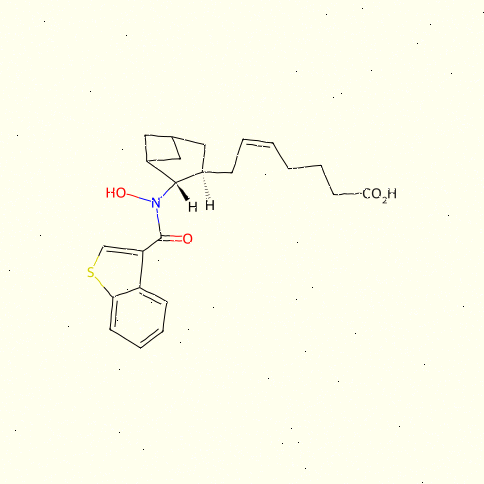 O=C(O)CCC/C=C\C[C@@H]1CC2CC(C2)[C@H]1N(O)C(=O)c1csc2ccccc12